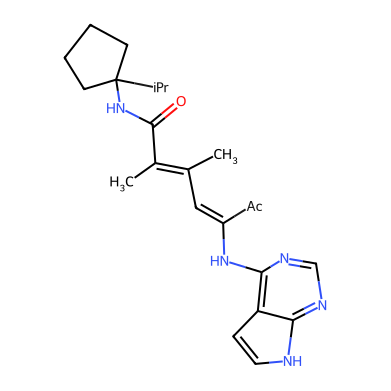 CC(=O)/C(=C\C(C)=C(/C)C(=O)NC1(C(C)C)CCCC1)Nc1ncnc2[nH]ccc12